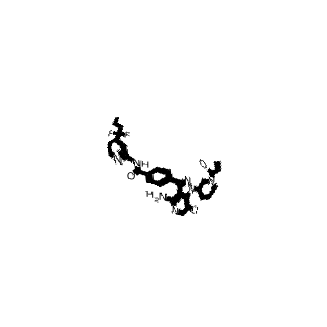 C=CC(=O)N1CCCC(n2nc(-c3ccc(C(=O)Nc4cc(C(F)(F)CCC)ccn4)cc3)c3c(N)ncc(Cl)c32)C1